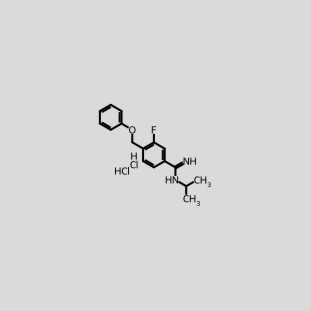 CC(C)NC(=N)c1ccc(COc2ccccc2)c(F)c1.Cl.Cl